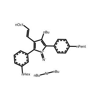 CCCCCCCCC=CC1=C(c2cccc(CCCCCC)c2)[N+](=[N-])C(c2ccc(CCCCC)cc2)=C1CCCC.CCC[CH2][Ni][CH2]CCC